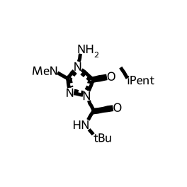 CCCC(C)C.CNc1nn(C(=O)NC(C)(C)C)c(=O)n1N